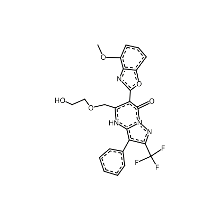 COc1cccc2oc(-c3c(COCCO)[nH]c4c(-c5ccccc5)c(C(F)(F)F)nn4c3=O)nc12